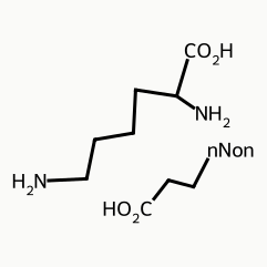 CCCCCCCCCCCC(=O)O.NCCCCC(N)C(=O)O